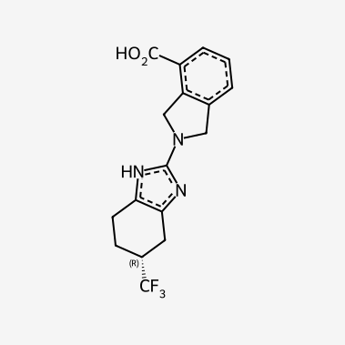 O=C(O)c1cccc2c1CN(c1nc3c([nH]1)CC[C@@H](C(F)(F)F)C3)C2